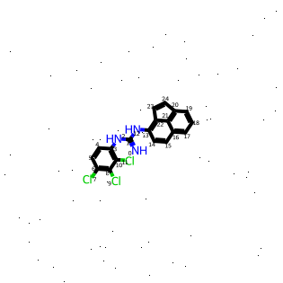 N=C(Nc1ccc(Cl)c(Cl)c1Cl)Nc1ccc2cccc3c2c1C=C3